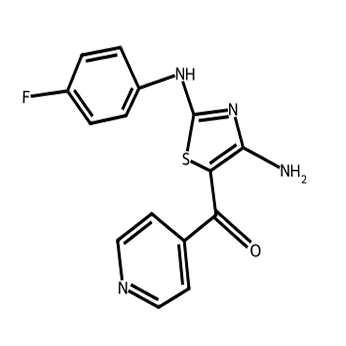 Nc1nc(Nc2ccc(F)cc2)sc1C(=O)c1ccncc1